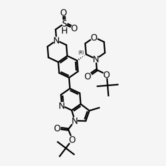 Cc1cn(C(=O)OC(C)(C)C)c2ncc(-c3cc4c(c([C@@H]5COCCN5C(=O)OC(C)(C)C)c3)CN(C[SH](=O)=O)CC4)cc12